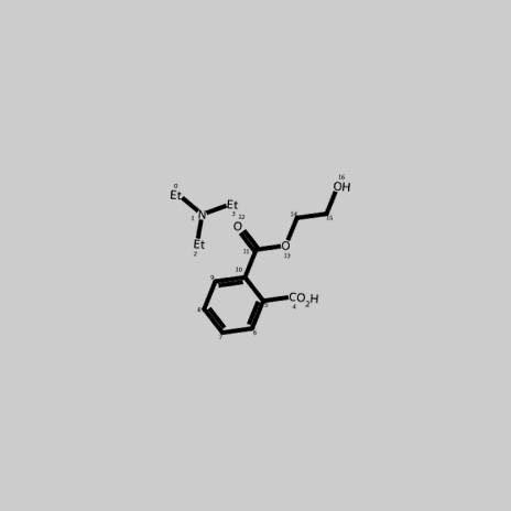 CCN(CC)CC.O=C(O)c1ccccc1C(=O)OCCO